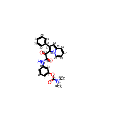 CCN(CC)C(=O)Oc1cccc(NC(=O)C(=O)c2c(-c3ccccc3)cc3ccccn23)c1